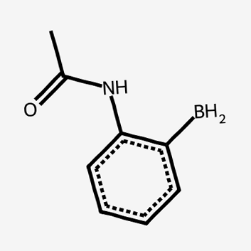 Bc1ccccc1NC(C)=O